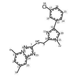 Cc1cc(C)n2nc(SCc3nc(-c4cccc(Cl)c4)cn3C)nc2c1